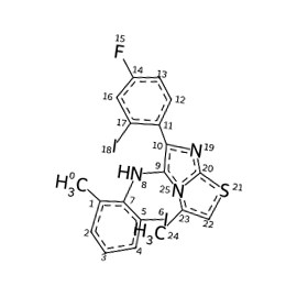 Cc1cccc(I)c1Nc1c(-c2ccc(F)cc2I)nc2scc(C)n12